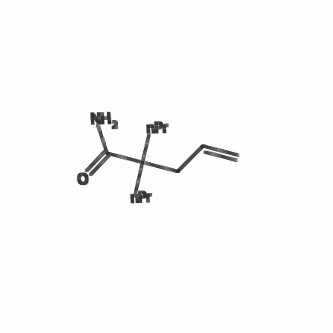 C=CCC(CCC)(CCC)C(N)=O